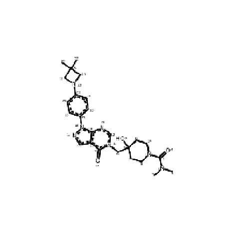 CN(C)C(=O)N1CCC(O)(Cn2cnc3c(cnn3-c3ccc(N4CC(C)(C)C4)cc3)c2=O)CC1